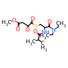 CCN(CC)C(=O)C(CSC(=O)C(=O)CC(=O)OC)NC(=O)C(C)C